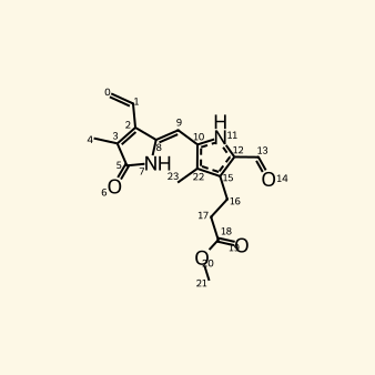 C=CC1=C(C)C(=O)N/C1=C\c1[nH]c(C=O)c(CCC(=O)OC)c1C